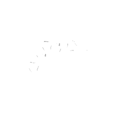 O=C(Nc1ccc(Cl)c(NC(=O)c2cccc(Cl)c2)c1)c1ccc(CBr)nc1